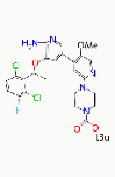 COc1cnc(N2CCN(C(=O)OC(C)(C)C)CC2)cc1-c1cnc(N)c(OC(C)c2c(Cl)ccc(F)c2Cl)c1